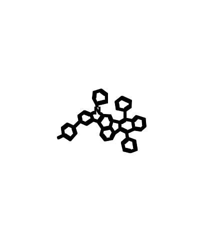 Cc1ccc(-c2ccc3c(c2)c2c4cccc5c4c(cc2n3-c2ccccc2)-c2c-5c(-c3ccccc3)c3ccccc3c2-c2ccccc2)cc1